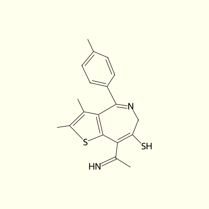 CC(=N)C1=C(S)CN=C(c2ccc(C)cc2)c2c1sc(C)c2C